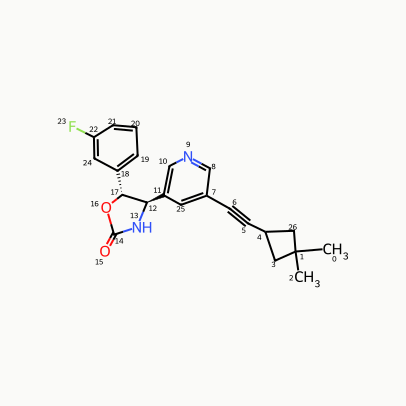 CC1(C)CC(C#Cc2cncc([C@H]3NC(=O)O[C@@H]3c3cccc(F)c3)c2)C1